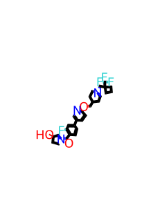 O=C(c1ccc(-c2ccc(OCC3CCN(CC4(C(F)(F)F)CCC4)CC3)nc2)cc1F)N1CC[C@@H](O)C1